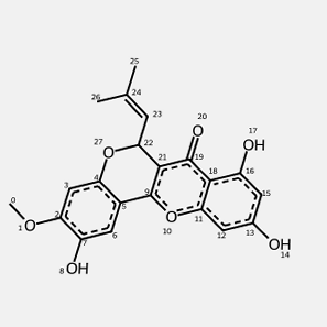 COc1cc2c(cc1O)-c1oc3cc(O)cc(O)c3c(=O)c1C(C=C(C)C)O2